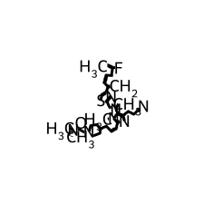 C=C(/C=C\C/C(F)=C\C)c1csc(CN(C)c2c(CCC#N)nc(/C=C\CC3CCN(CC(=O)N(C)C)CC3)n2C)n1